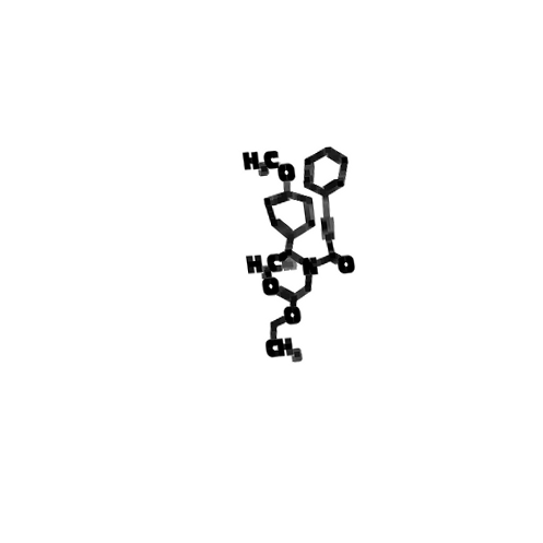 CCOC(=O)CN(C(=O)C#Cc1ccccc1)[C@@H](C)c1ccc(OC)cc1